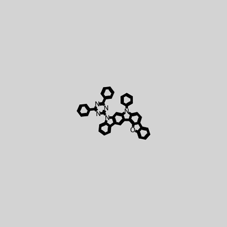 c1ccc(-c2nc(-c3ccccc3)nc(-n3c4ccccc4c4cc5c6c7oc8ccccc8c7ccc6n(-c6ccccc6)c5cc43)n2)cc1